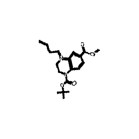 CCCCN1CCN(C(=O)OC(C)(C)C)c2ccc(C(=O)OC)cc21